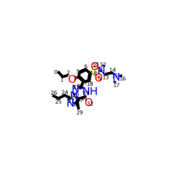 CCCOc1ccc(S(=O)(=O)N(C)CCN(C)C)cc1-c1nn2c(CCC)nc(C)c2c(=O)[nH]1